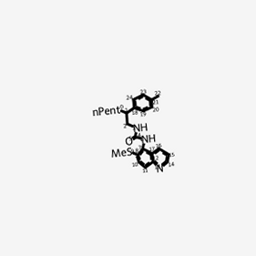 CCCCCC(CNC(=O)Nc1c(SC)ccc2ncccc12)c1ccc(C)cc1